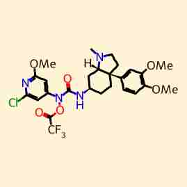 COc1cc(N(OC(=O)C(F)(F)F)C(=O)N[C@@H]2CC[C@@]3(c4ccc(OC)c(OC)c4)CCN(C)[C@H]3C2)cc(Cl)n1